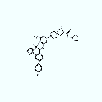 Cc1ccn(-c2cc(-c3ccc(Cl)cc3)ccc2[C@@H](Oc2cc(N3CCC4(CC3)CN[C@H](C(=O)OC3CCCC3)C4)nc(N)n2)C(F)(F)F)n1